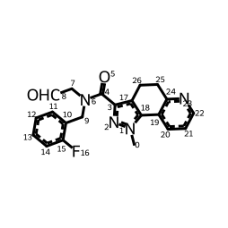 Cn1nc(C(=O)N(CC=O)Cc2ccccc2F)c2c1-c1cccnc1CC2